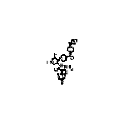 CC1(N2CCN(C(=O)C3CCN(C4C(F)CNCC4NC(=O)c4c(N)nn5cc(F)cnc45)CC3)CC2)COC1